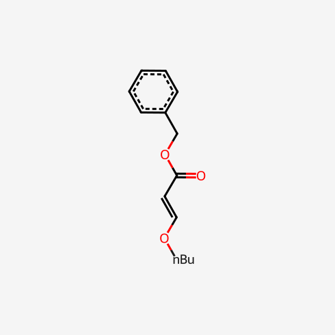 CCCCOC=CC(=O)OCc1ccccc1